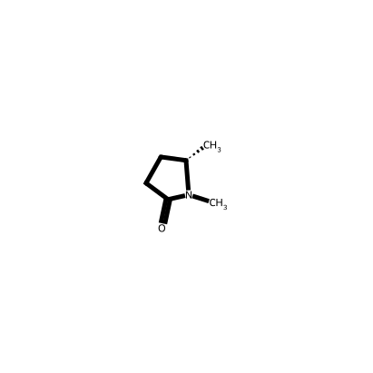 C[C@H]1CCC(=O)N1C